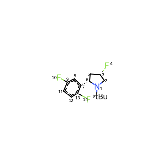 CC(C)(C)N1C[C@@H](F)C[C@H]1c1cc(F)ccc1F